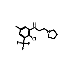 Cc1cc(NCCN2CCCC2)c(Cl)c(C(F)(F)F)c1